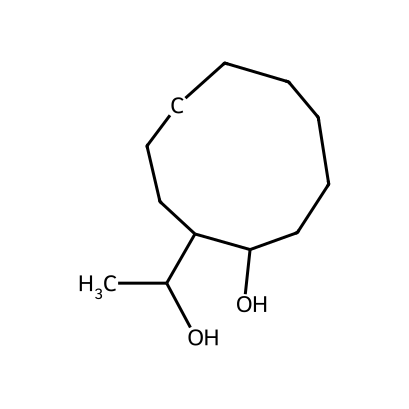 CC(O)C1CCCCCCCCC1O